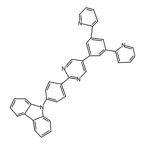 c1ccc(-c2cc(-c3cnc(-c4ccc(-n5c6ccccc6c6ccccc65)cc4)nc3)cc(-c3ccccn3)c2)nc1